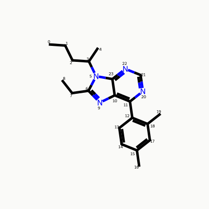 CCCC(C)n1c(CC)nc2c(-c3ccc(C)cc3C)ncnc21